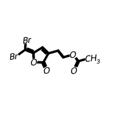 CC(=O)OCCC1=CC(=C(Br)Br)OC1=O